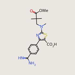 COC(=O)C(C)(C)CN(C)c1nc(-c2ccc(C(=N)N)cc2)c(C(=O)O)s1